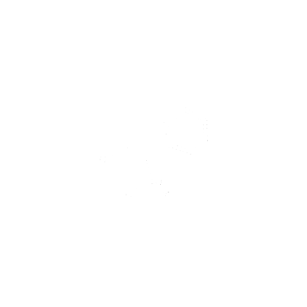 O=[SH](=O)C(CCl)c1ccccc1